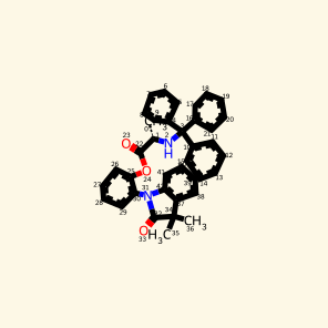 C[C@H](NC(c1ccccc1)(c1ccccc1)c1ccccc1)C(=O)Oc1ccccc1N1C(=O)C(C)(C)c2ccccc21